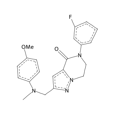 COc1ccc(N(C)Cc2cc3n(n2)CCN(c2cccc(F)c2)C3=O)cc1